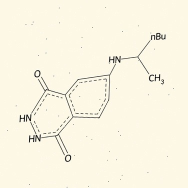 CCCCC(C)Nc1ccc2c(=O)[nH][nH]c(=O)c2c1